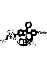 COc1ccc2c(c1)C1CC1(C(=O)N1C3COC[C@@H]1CN(C)C3)Cn1c-2c(C2CCCCC2)c2ccc(C(=O)NS(=O)(=O)CCC(F)(F)F)cc21